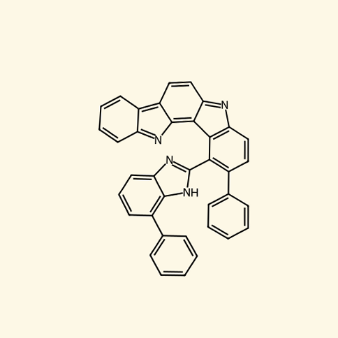 c1ccc(-c2ccc3c(c2-c2nc4cccc(-c5ccccc5)c4[nH]2)-c2c4c(ccc2=N3)=c2ccccc2=N4)cc1